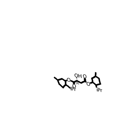 CC1CCC(C(C)C)C(OC(=O)C[C@@H](O)C(=O)OC2CC(C)CCC2C(C)C)C1